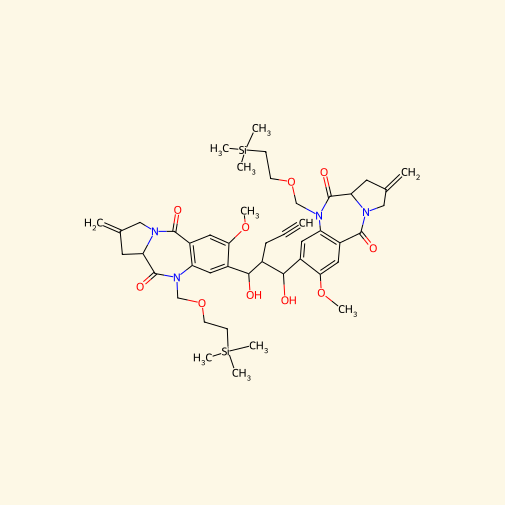 C#CCC(C(O)c1cc2c(cc1OC)C(=O)N1CC(=C)CC1C(=O)N2COCC[Si](C)(C)C)C(O)c1cc2c(cc1OC)C(=O)N1CC(=C)CC1C(=O)N2COCC[Si](C)(C)C